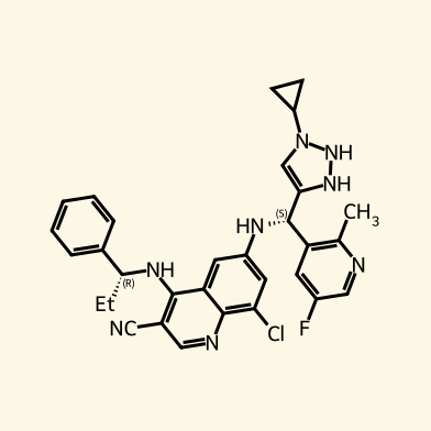 CC[C@@H](Nc1c(C#N)cnc2c(Cl)cc(N[C@H](C3=CN(C4CC4)NN3)c3cc(F)cnc3C)cc12)c1ccccc1